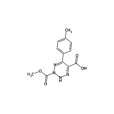 COC(=O)N1N=C(c2ccc(C)cc2)C(C(=O)O)=NN1